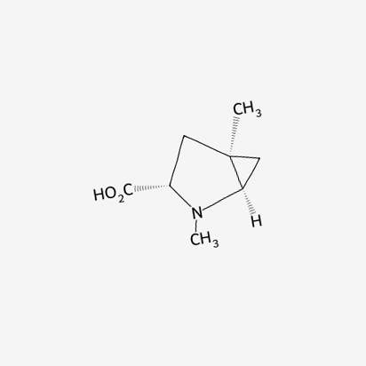 CN1[C@H](C(=O)O)C[C@@]2(C)C[C@@H]12